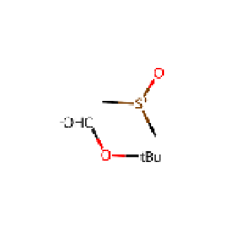 CC(C)(C)O[C]=O.C[S+](C)[O-]